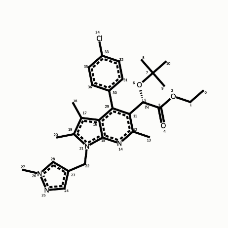 CCOC(=O)[C@@H](OC(C)(C)C)c1c(C)nc2c(c(C)c(C)n2Cc2cnn(C)c2)c1-c1ccc(Cl)cc1